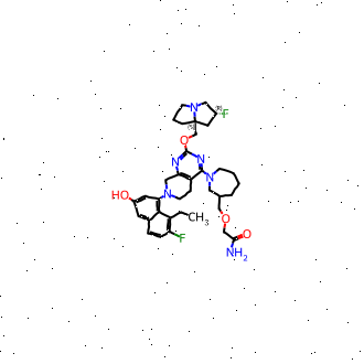 CCc1c(F)ccc2cc(O)cc(N3CCc4c(nc(OC[C@@]56CCCN5C[C@H](F)C6)nc4N4CCCCC(COCC(N)=O)C4)C3)c12